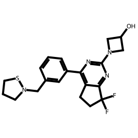 OC1CN(c2nc(-c3cccc(CN4CCCS4)c3)c3c(n2)C(F)(F)CC3)C1